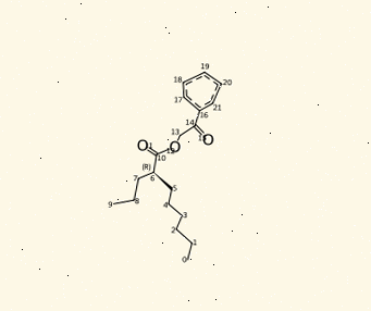 CCCCCC[C@@H](CCC)C(=O)OCC(=O)c1ccccc1